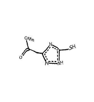 COC(=O)c1n[nH]c(S)n1